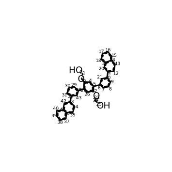 OCOc1cc(-c2cccc(-c3ccc4ccccc4c3)c2)c(OCO)cc1-c1cccc(-c2ccc3ccccc3c2)c1